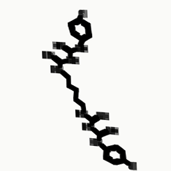 N=C(NCCCCCNC(=N)NC(=N)Nc1ccc(Cl)cc1)NC(=N)Nc1ccc(Cl)cc1